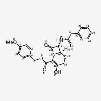 COc1ccc(COC(=O)C2=C(O)CS[C@@H]3C(NC(=O)Cc4ccccc4)C(=O)N23)cc1